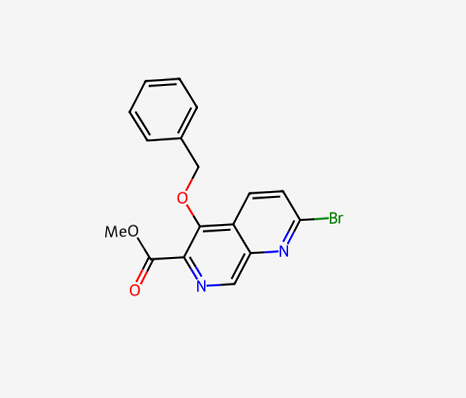 COC(=O)c1ncc2nc(Br)ccc2c1OCc1ccccc1